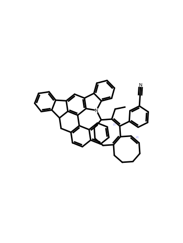 CC/C1=C(\c2cccc(C#N)c2)C2=C(CCCC/C=C\2)CCCC1n1c2ccccc2c2cc3c4c(c21)-c1c(ccc2ccccc12)CC4c1ccccc1-3